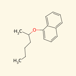 [CH2]C(CCCC)Oc1cccc2ccccc12